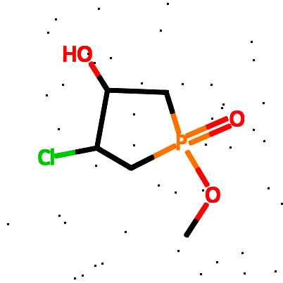 COP1(=O)CC(O)C(Cl)C1